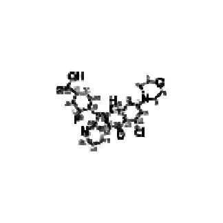 Cc1cc(N2CCOCC2)cc(Cl)c1C(=O)n1nc(-c2ccc(C(=O)O)cc2F)c2ncccc21